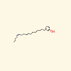 CCCC/C=C\CCCCCCCCCCCc1cccc(O)c1